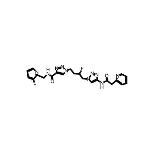 O=C(Cc1ccccn1)Nc1cn(CC(F)CCn2cc(C(=O)NCc3ncccc3F)nn2)nn1